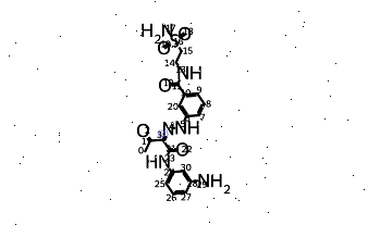 CC(=O)/C(=N/Nc1cccc(C(=O)NCCS(N)(=O)=O)c1)C(=O)Nc1cccc(N)c1